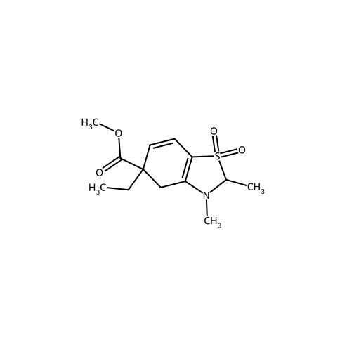 CCC1(C(=O)OC)C=CC2=C(C1)N(C)C(C)S2(=O)=O